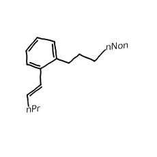 CCCC=Cc1ccccc1CCCCCCCCCCCC